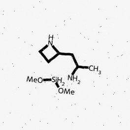 CC(N)CC1CCN1.CO[SiH2]OC